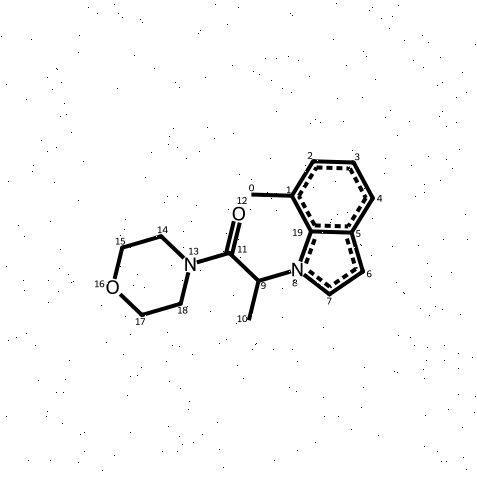 Cc1cccc2ccn(C(C)C(=O)N3CCOCC3)c12